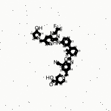 CC1(C(=O)O)CCN(Cc2cc(C#N)c3oc([C@@H]4C=CC=C(c5cccc(Nc6nc(C(F)F)nc7cc(CN8CCC(O)C8)cnc67)c5)C4(C)C)nc3c2)CC1